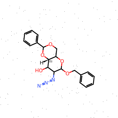 [N-]=[N+]=NC1C(OCc2ccccc2)OC2COC(c3ccccc3)O[C@H]2C1O